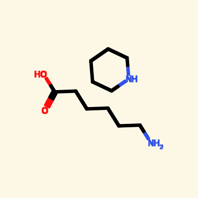 C1CCNCC1.NCCCCCC(=O)O